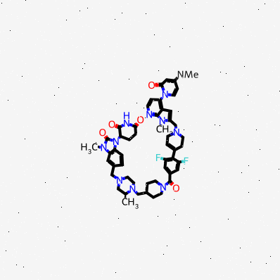 CNc1ccn(-c2ccnc3c2cc(CN2CC=C(c4c(F)cc(C(=O)N5CCC(CN6CCN(Cc7ccc8c(c7)n(C)c(=O)n8C7CCC(=O)NC7=O)C[C@@H]6C)CC5)cc4F)CC2)n3C)c(=O)c1